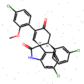 COc1cc(Cl)ccc1C1=C[C@@]2(C(=O)Nc3cc(Cl)ccc32)[C@H](c2cccc(Cl)c2)CC1=O